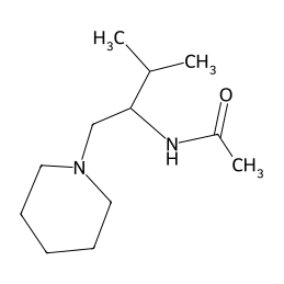 CC(=O)NC(CN1CCCCC1)C(C)C